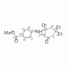 CCC1(CC)CC(=O)C(=CNc2ccc(C(=O)OC)cc2)C(=O)C1